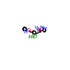 Cl.Cl.Nc1ncccc1-c1cc(Cc2ccc(COc3ccccn3)cc2)no1